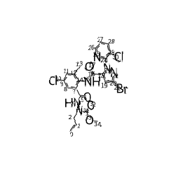 C=CCN(NC(=O)c1cc(Cl)cc(C)c1NC(=O)c1cc(Br)nn1-c1ncccc1Cl)C(=O)OC